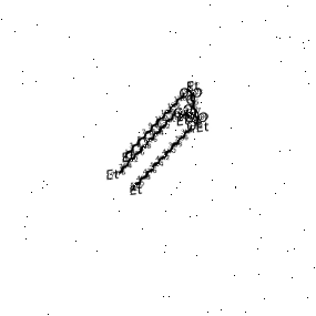 CCC=CCC=CCC=CCC=CCC=CCCCCOC(CC)C(=O)OCC(COC(=O)C(CC)OCCCCC=CCC=CCC=CCC=CCC=CCC)OC(=O)C(CC)OCCCCC=CCC=CCC=CCC=CCC=CCC